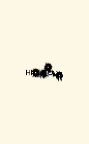 c1cncc(CCOc2ccccc2-c2cc(N3CCNCC3)ncn2)c1